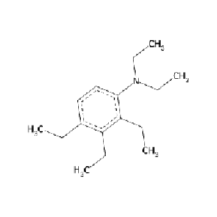 CCc1ccc(N(CC)CC)c(CC)c1CC